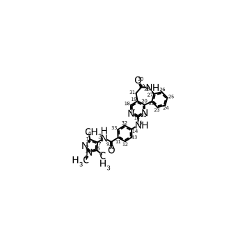 Cc1nn(C)c(C)c1NC(=O)c1ccc(Nc2ncc3c(n2)-c2ccccc2NC(=O)C3)cc1